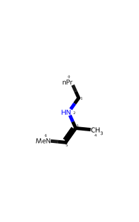 CCCCN/C(C)=C\NC